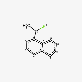 CC(F)c1cccc2ccccc12